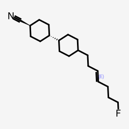 N#C[C@H]1CC[C@H](C2CCC(CC/C=C/CCCF)CC2)CC1